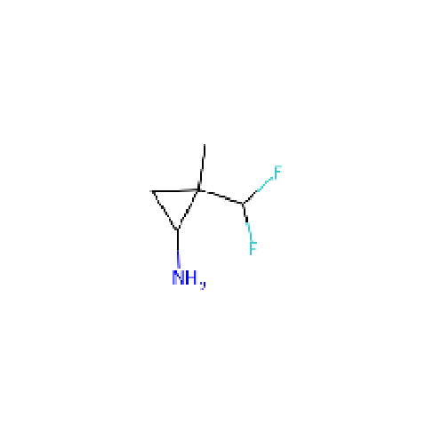 CC1(C(F)F)CC1N